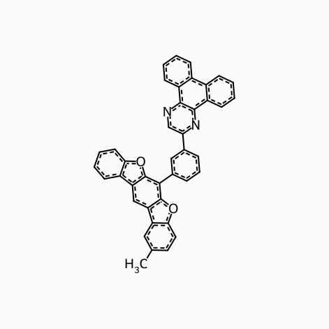 Cc1ccc2oc3c(-c4cccc(-c5cnc6c7ccccc7c7ccccc7c6n5)c4)c4oc5ccccc5c4cc3c2c1